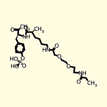 CCC(=O)NCCOCCOCC(=O)NCCCC[C@H](C)C(=O)N[C@@H](Cc1ccc(OP(=O)(O)O)cc1)C(C)=O